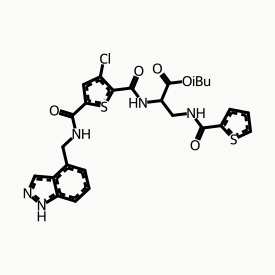 CC(C)COC(=O)C(CNC(=O)c1cccs1)NC(=O)c1sc(C(=O)NCc2cccc3[nH]ncc23)cc1Cl